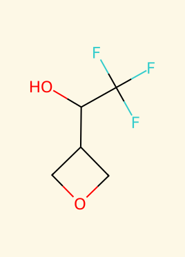 OC(C1COC1)C(F)(F)F